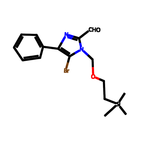 C[Si](C)(C)CCOCn1c(C=O)nc(-c2ccccc2)c1Br